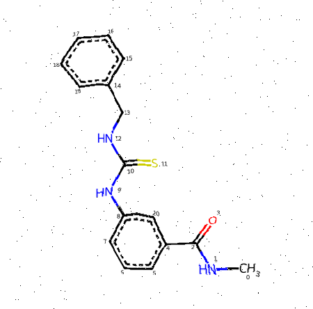 CNC(=O)c1cccc(NC(=S)NCc2ccccc2)c1